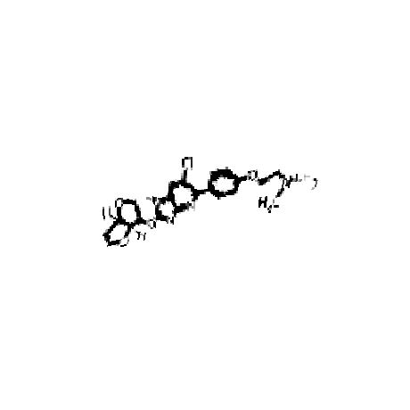 CN(C)CCOc1ccc(-c2nc3nc(OC4CO[C@@H]5CCO[C@H]45)[nH]c3cc2Cl)cc1